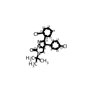 CC(C)(C)N1Cc2c(-c3ccc(Cl)cc3)c(-c3ccccc3Cl)nn2C1=O